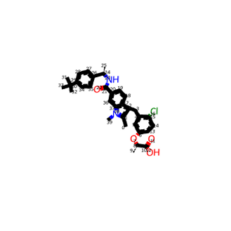 Cc1c(Cc2cc(O[C@@H](C)C(=O)O)ccc2Cl)c2ccc(C(=O)N[C@@H](C)c3ccc(C(C)(C)C)cc3)cc2n1C